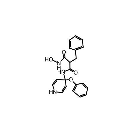 O=C(NO)C(Cc1ccccc1)C(=O)NC1(Oc2ccccc2)C=CNC=C1